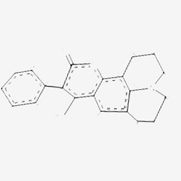 CC(=O)c1c(-c2ccccc2)c(=O)oc2c3c4c(cc12)CCCN4CCC3